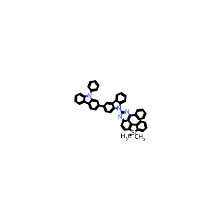 C[Si]1(C)c2ccccc2-c2c1ccc1nc(-n3c4ccccc4c4cc(-c5ccc6c7ccccc7n(-c7ccccc7)c6c5)ccc43)nc(-c3ccccc3)c21